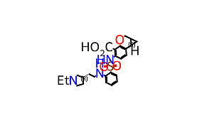 CCN1CC[C@@H](CCNc2ccccc2S(=O)(=O)Nc2ccc3c(c2C(=O)O)OCC2C[C@H]32)C1